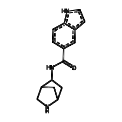 O=C(NC1CC2CC1CN2)c1ccc2[nH]ccc2c1